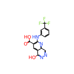 O=C(O)c1cc2c(O)nncc2nc1Nc1cccc(C(F)(F)F)c1